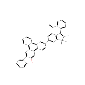 C=Cc1ccccc1C1=C(C)C(C)(C)c2cc(-c3ccc4c(c3)c3ccccc3c3cc5c(cc43)oc3ccccc35)ccc21